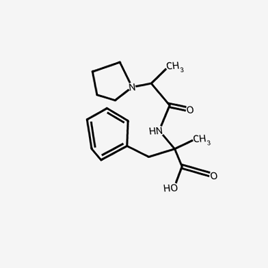 CC(C(=O)NC(C)(Cc1ccccc1)C(=O)O)N1CCCC1